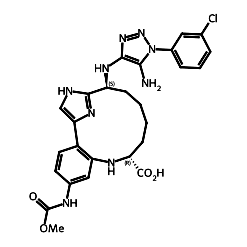 COC(=O)Nc1ccc2c(c1)N[C@@H](C(=O)O)CCCC[C@H](Nc1nnn(-c3cccc(Cl)c3)c1N)c1nc-2c[nH]1